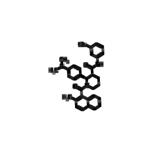 Cc1ccc2ccccc2c1C(=O)N1CCCC(C(=O)Nc2cccc(C(C)(C)C)c2)[C@@H]1c1ccc(N(C)C)cc1